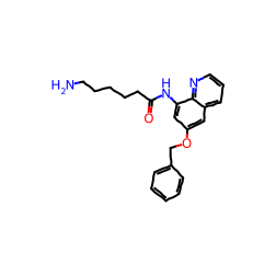 NCCCCCC(=O)Nc1cc(OCc2ccccc2)cc2cccnc12